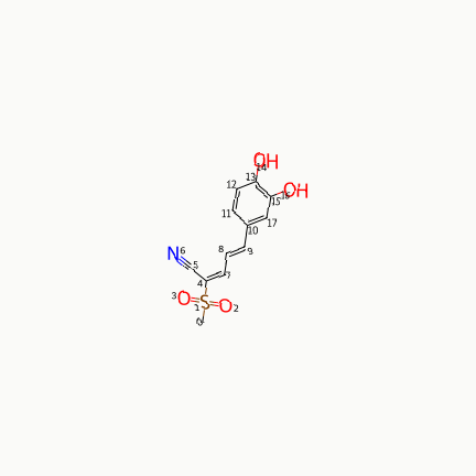 CS(=O)(=O)/C(C#N)=C/C=C/c1ccc(O)c(O)c1